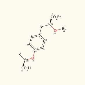 CCOC(=O)[C@H](Cc1ccc(O[C@H](C)C(=O)O)cc1)OCC